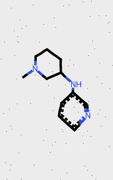 CN1CCCC(Nc2cccnc2)C1